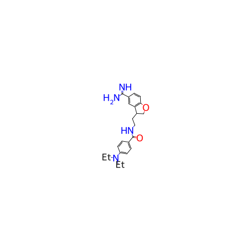 CCN(CC)c1ccc(C(=O)NCCC2COc3ccc(C(=N)N)cc32)cc1